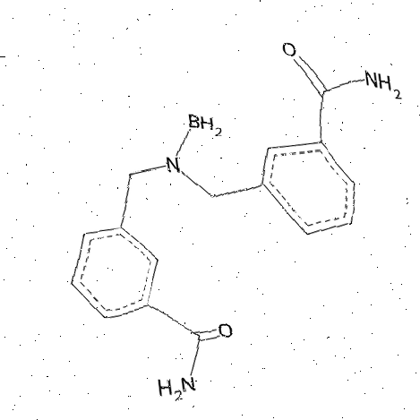 BN(Cc1cccc(C(N)=O)c1)Cc1cccc(C(N)=O)c1